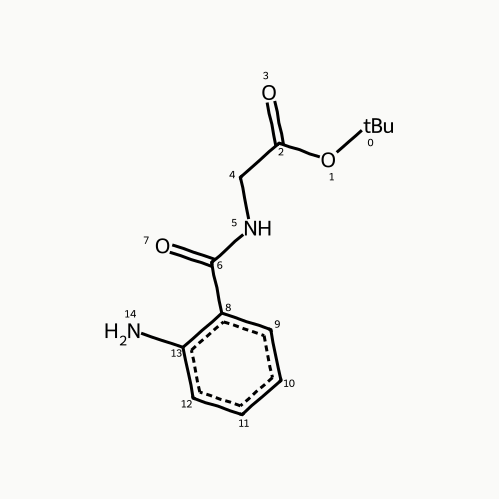 CC(C)(C)OC(=O)CNC(=O)c1ccccc1N